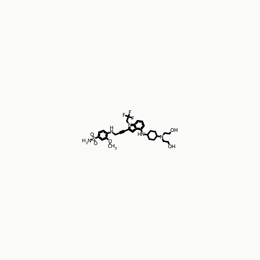 COc1cc(S(N)(=O)=O)ccc1NCC#Cc1cc2c(NC3CCC(N(CCO)CCO)CC3)cccc2n1CC(F)(F)F